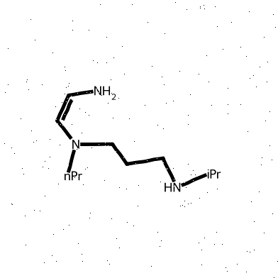 CCCN(/C=C\N)CCCNC(C)C